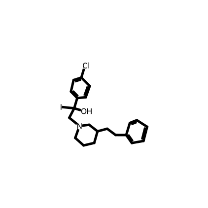 OC(I)(CN1CCCC(CCc2ccccc2)C1)c1ccc(Cl)cc1